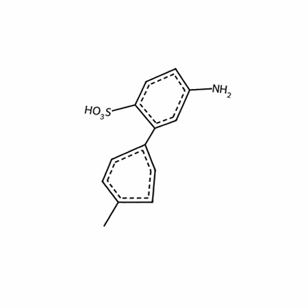 Cc1ccc(-c2cc(N)ccc2S(=O)(=O)O)cc1